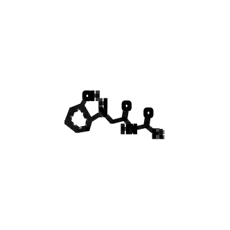 CCC(=O)NC(=O)CNc1ccccc1O